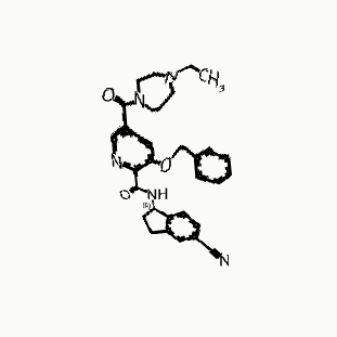 CCN1CCN(C(=O)c2cnc(C(=O)N[C@@H]3CCc4cc(C#N)ccc43)c(OCc3ccccc3)c2)CC1